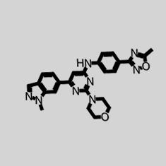 Cc1nc(-c2ccc(Nc3cc(-c4ccc5cnn(C)c5c4)nc(N4CCOCC4)n3)cc2)no1